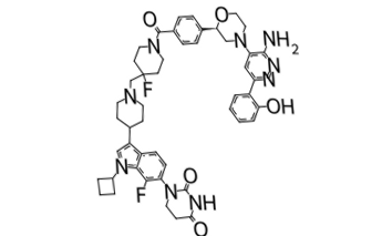 Nc1nnc(-c2ccccc2O)cc1N1CCO[C@H](c2ccc(C(=O)N3CCC(F)(CN4CCC(c5cn(C6CCC6)c6c(F)c(N7CCC(=O)NC7=O)ccc56)CC4)CC3)cc2)C1